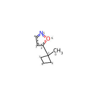 CC1(c2ccno2)CCC1